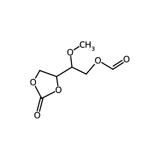 COC(COC=O)C1COC(=O)O1